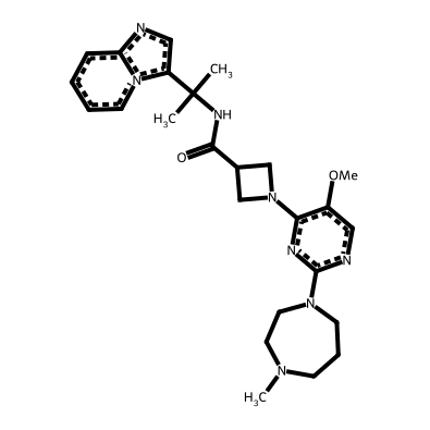 COc1cnc(N2CCCN(C)CC2)nc1N1CC(C(=O)NC(C)(C)c2cnc3ccccn23)C1